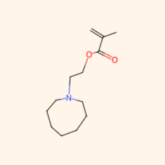 C=C(C)C(=O)OCCN1CCCCCCC1